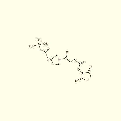 CC(C)(C)OC(=O)N[C@@H]1CCN(C(=O)CCC(=O)ON2C(=O)CCC2=O)C1